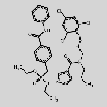 CCCN(CCOc1c(Cl)cc(Cl)cc1Cl)C(=O)n1ccnc1.CCOP(=O)(Cc1ccc(C(=O)Nc2ccccc2)cc1)OCC